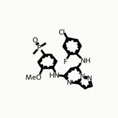 COc1cc(P(C)(C)=O)ccc1Nc1cc(Nc2ccc(Cl)cc2F)n2nccc2n1